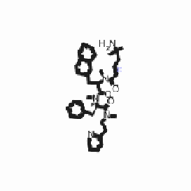 CN(CCc1ccccn1)C(=O)[C@@H](Cc1ccccc1)N(C)C(=O)C(Cc1ccc2ccccc2c1)N(C)C(=O)/C=C/CC(C)(C)N